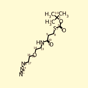 CC(C)(C)OC(=O)SCCC(=O)NCCOCCN=[N+]=[N-]